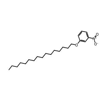 CCCCCCCCCCCCCCCCOc1cccc([N+](=O)[O-])c1